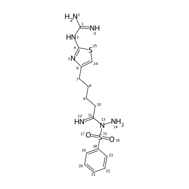 N=C(N)Nc1nc(CCCCC(=N)N(N)S(=O)(=O)c2ccccc2)cs1